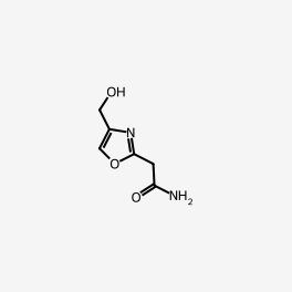 NC(=O)Cc1nc(CO)co1